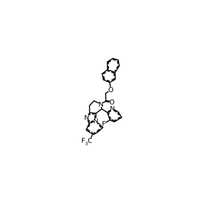 O=C(COc1ccc2ccccc2c1)N1CCc2nc3cc(C(F)(F)F)ccn3c2C1c1ncccc1F